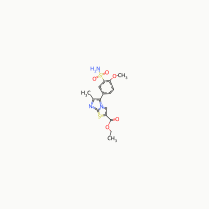 CCOC(=O)c1cn2c(-c3ccc(OC)c(S(N)(=O)=O)c3)c(C)nc2s1